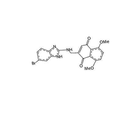 COc1ccc(OC)c2c1C(=O)C=C(CNc1nc3ccc(Br)cc3[nH]1)C2=O